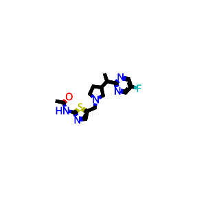 CC(=O)Nc1ncc(CN2CCC(C(C)c3ncc(F)cn3)C2)s1